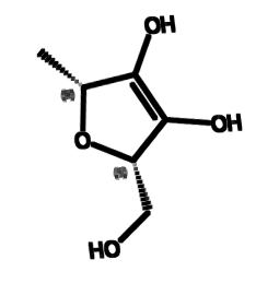 C[C@H]1O[C@@H](CO)C(O)=C1O